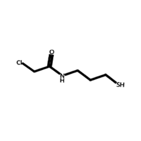 O=C(CCl)NCCCS